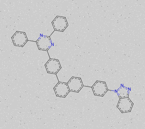 c1ccc(-c2cc(-c3ccc(-c4cccc5cc(-c6ccc(-n7nnc8ccccc87)cc6)ccc45)cc3)nc(-c3ccccc3)n2)cc1